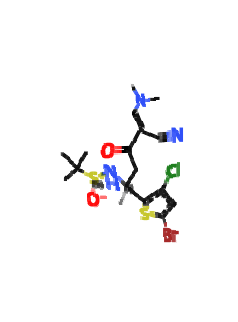 CN(C)C=C(C#N)C(=O)C[C@](C)(N[S@+]([O-])C(C)(C)C)c1sc(Br)cc1Cl